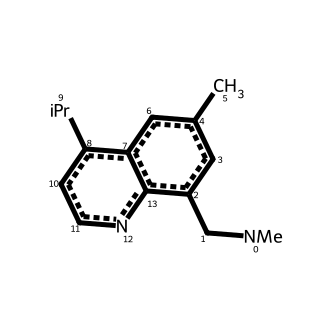 CNCc1cc(C)cc2c(C(C)C)ccnc12